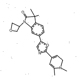 CC1=CC(c2ncc(-c3ccc4c(c3)N(C3COC3)C(=O)C4(C)C)o2)=CCN1C